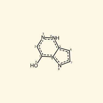 Oc1cn[nH]c2ccnc1-2